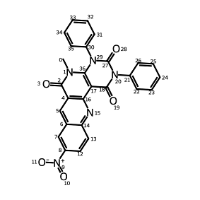 Cn1c(=O)c2cc3cc([N+](=O)[O-])ccc3nc2c2c(=O)n(-c3ccccc3)c(=O)n(-c3ccccc3)c21